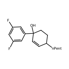 CCCCCC1C=CC(O)(c2cc(F)cc(F)c2)CC1